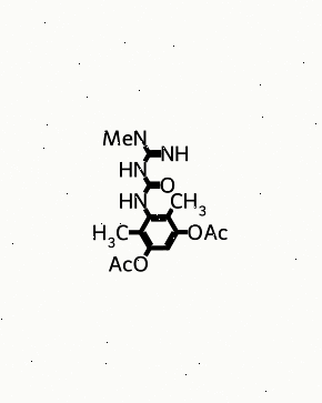 CNC(=N)NC(=O)Nc1c(C)c(OC(C)=O)cc(OC(C)=O)c1C